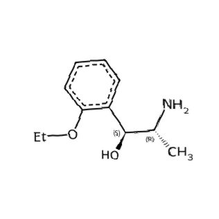 CCOc1ccccc1[C@H](O)[C@@H](C)N